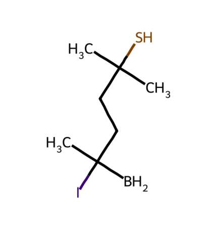 BC(C)(I)CCC(C)(C)S